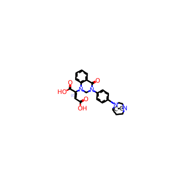 O=C(O)/C=C(/C(=O)O)N1CN(c2ccc(N3CCN4CCC3CC4)cc2)C(=O)c2ccccc21